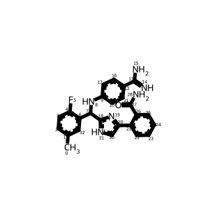 Cc1ccc(F)c(C(Nc2ccc(C(=N)N)cc2)c2nc(-c3ccccc3C(N)=O)c[nH]2)c1